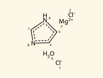 O.[Cl-].[Cl-].[Mg+2].c1c[nH]cn1